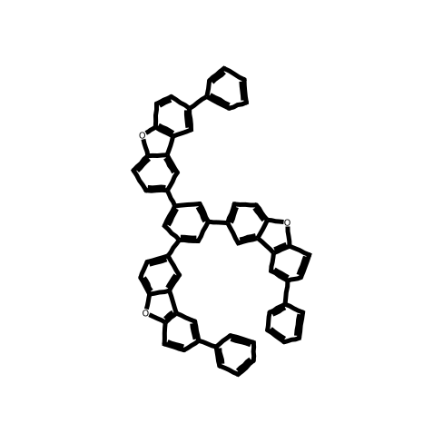 c1ccc(-c2ccc3oc4ccc(-c5cc(-c6ccc7oc8ccc(-c9ccccc9)cc8c7c6)cc(-c6ccc7oc8ccc(-c9ccccc9)cc8c7c6)c5)cc4c3c2)cc1